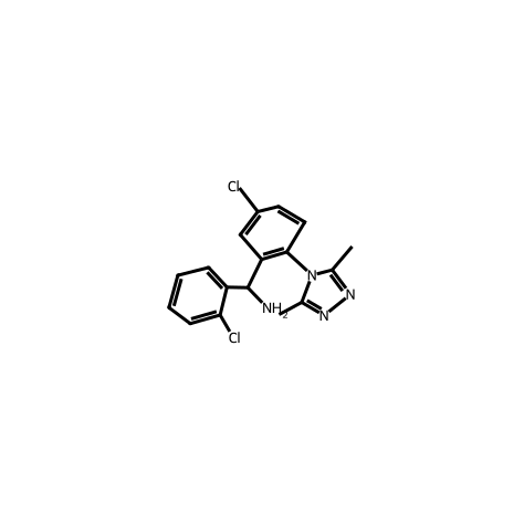 Cc1nnc(C)n1-c1ccc(Cl)cc1C(N)c1ccccc1Cl